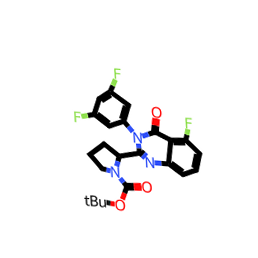 CC(C)(C)OC(=O)N1CCCC1c1nc2cccc(F)c2c(=O)n1-c1cc(F)cc(F)c1